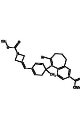 COC(=O)c1ccc2c(c1)CCCC(Br)=C2C1(C)C=CC(C=C2CN(C(=O)OC(C)(C)C)C2)=CC1